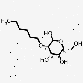 CCCCCCO[C@H]1C(O)O[C@H](CO)[C@@H](O)[C@@H]1O